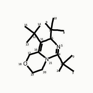 CC(C)(C)C1=NC(C(C)(C)C)C(C(C)(C)C)=C2COCCN12